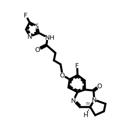 O=C(CCCOc1cc2c(cc1F)C(=O)N1CCC[C@H]1C=N2)Nc1ncc(F)s1